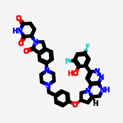 O=C1CCC(N2Cc3ccc(N4CCN(Cc5ccc(O[C@@H]6C[C@@H]7CNc8nnc(-c9cc(F)cc(F)c9O)cc8N7C6)cc5)CC4)cc3C2=O)C(=O)N1